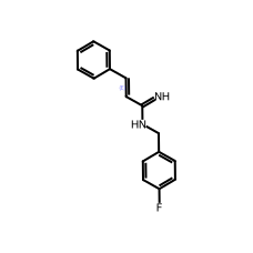 N=C(/C=C/c1ccccc1)NCc1ccc(F)cc1